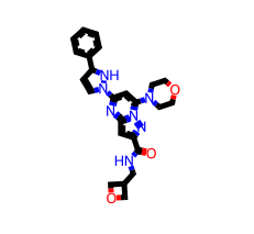 O=C(NCC1COC1)c1cc2nc(N3C=CC(c4ccccc4)N3)cc(N3CCOCC3)n2n1